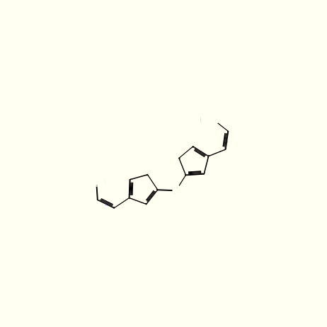 C/C=C\C1=CC[C]([Zr][C]2=CC(/C=C\C)=CC2)=C1